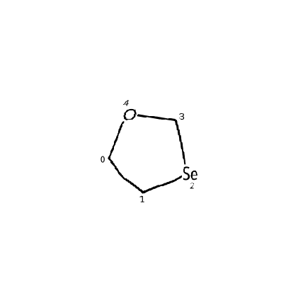 C1C[Se]CO1